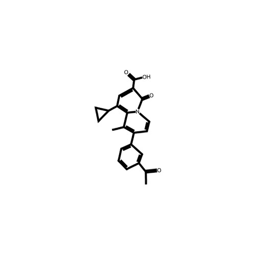 CC(=O)c1cccc(-c2ccn3c(=O)c(C(=O)O)cc(C4CC4)c3c2C)c1